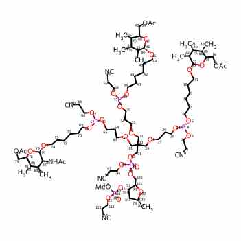 [C-]#[N+]CCOP(OCCCCCCO[C@@H]1OC(COC(C)=O)[C@H](C)[C@H](C)C1C)OCCCOCC(COCCCOP(OCCCCCCO[C@@H]1OC(COC(C)=O)[C@H](C)[C@H](C)C1C)OCC[N+]#[C-])(COCCCOP(OCCCCCCO[C@@H]1OC(COC(C)=O)[C@H](C)[C@H](C)C1NC(C)=O)OCC[N+]#[C-])COP(=O)(OCCC#N)OC[C@H]1O[C@@H](C)C[C@@H]1OP(=O)(OC)OCC[N+]#[C-]